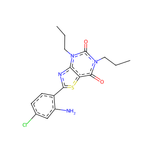 CCCn1c(=O)c2sc(-c3ccc(Cl)cc3N)nc2n(CCC)c1=O